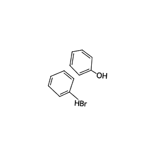 Br.Cc1ccccc1.Oc1ccccc1